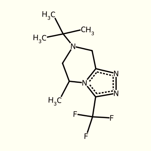 CC1CN(C(C)(C)C)Cc2nnc(C(F)(F)F)n21